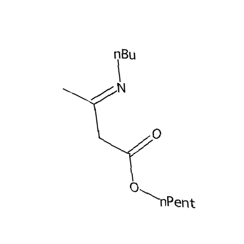 CCCCCOC(=O)CC(C)=NCCCC